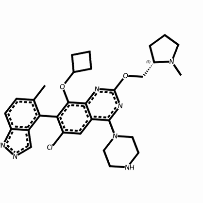 Cc1ccc2[nH]ncc2c1-c1c(Cl)cc2c(N3CCNCC3)nc(OC[C@@H]3CCCN3C)nc2c1OC1CCC1